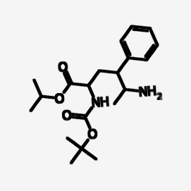 CC(C)OC(=O)C(CC(c1ccccc1)C(C)N)NC(=O)OC(C)(C)C